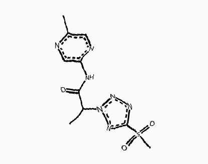 Cc1cnc(NC(=O)C(C)n2nnc(S(C)(=O)=O)n2)cn1